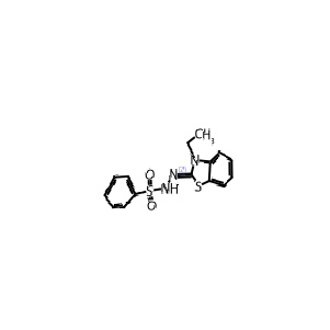 CCn1/c(=N/NS(=O)(=O)c2ccccc2)sc2ccccc21